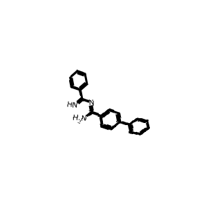 N=C(/N=C(\N)c1ccc(-c2ccccc2)cc1)c1ccccc1